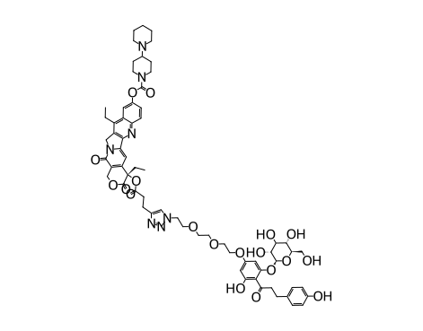 CCc1c2c(nc3ccc(OC(=O)N4CCC(N5CCCCC5)CC4)cc13)-c1cc3c(c(=O)n1C2)COC(=O)[C@@]3(CC)OC(=O)CCc1cn(CCOCCOCCOc2cc(O)c(C(=O)CCc3ccc(O)cc3)c(O[C@@H]3O[C@H](CO)[C@@H](O)C(O)[C@H]3O)c2)nn1